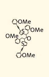 COc1ccccc1C#Cc1ccc(C(Cc2ccccc2OC)C(=O)C(Cc2ccccc2OC)c2ccc(C#Cc3ccccc3OC)s2)s1